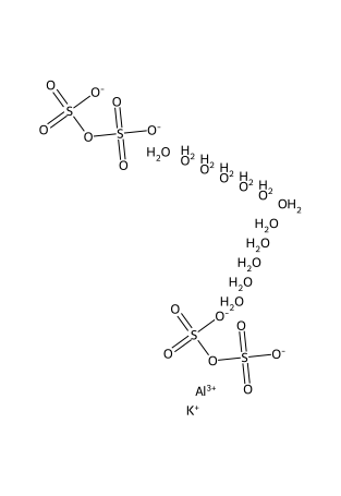 O.O.O.O.O.O.O.O.O.O.O.O.O=S(=O)([O-])OS(=O)(=O)[O-].O=S(=O)([O-])OS(=O)(=O)[O-].[Al+3].[K+]